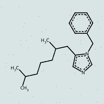 CC(C)CCCC(C)Cc1cncn1Cc1ccccc1